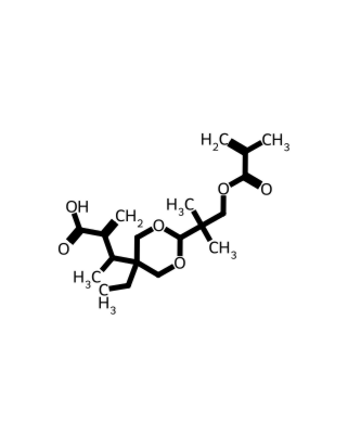 C=C(C)C(=O)OCC(C)(C)C1OCC(CC)(C(C)C(=C)C(=O)O)CO1